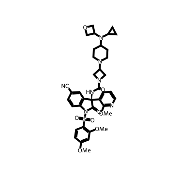 COc1ccc(S(=O)(=O)N2C(=O)[C@@](NC(=O)N3CC(N4CCC(N(C5CC5)C5COC5)CC4)C3)(c3cccnc3OC)c3cc(C#N)ccc32)c(OC)c1